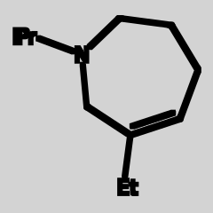 CCC1=CCCCN(C(C)C)C1